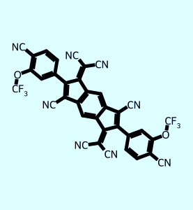 N#CC(C#N)=C1C(c2ccc(C#N)c(OC(F)(F)F)c2)=C(C#N)c2cc3c(cc21)C(C#N)=C(c1ccc(C#N)c(OC(F)(F)F)c1)C3=C(C#N)C#N